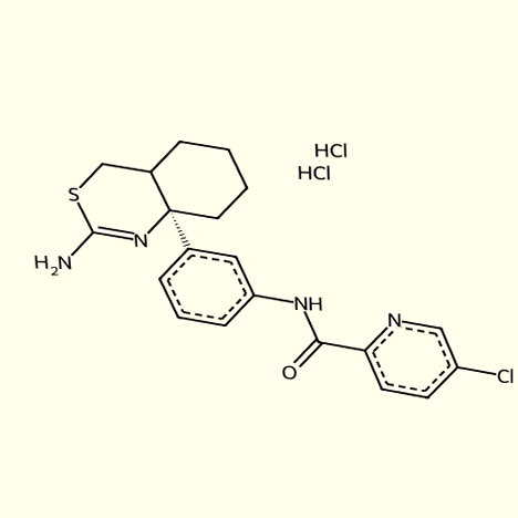 Cl.Cl.NC1=N[C@]2(c3cccc(NC(=O)c4ccc(Cl)cn4)c3)CCCCC2CS1